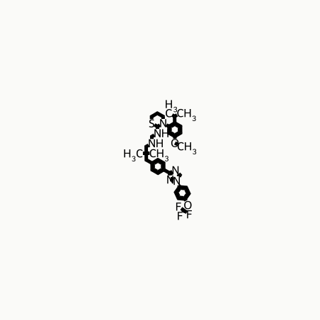 COc1ccc(C(C)C)c(N2CCCSC2NCNCC(C)(C)Cc2ccc(-c3ncn(-c4ccc(OC(F)(F)F)cc4)n3)cc2)c1